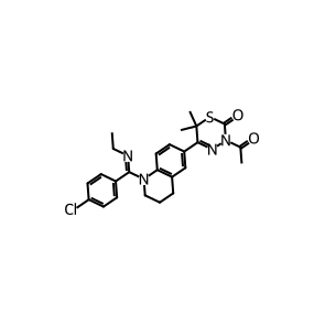 CCN=C(c1ccc(Cl)cc1)N1CCCc2cc(C3=NN(C(C)=O)C(=O)SC3(C)C)ccc21